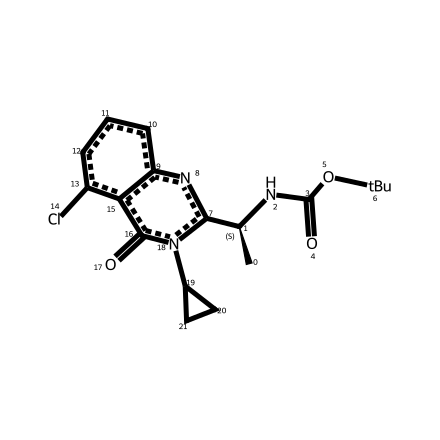 C[C@H](NC(=O)OC(C)(C)C)c1nc2cccc(Cl)c2c(=O)n1C1CC1